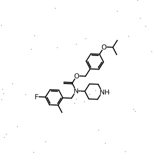 C=C(OCc1ccc(OC(C)C)cc1)N(Cc1ccc(F)cc1C)C1CCNCC1